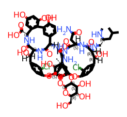 CN[C@@H](CN[C@H]1C(=O)N[C@@H](CC(N)=O)C(=O)N[C@H]2C(=O)N[C@H]3C(=O)N[C@H](C(=O)N[C@H](C(=O)O)c4cc(O)cc(O)c4-c4cc3ccc4O)[C@H](O)c3ccc(c(Cl)c3)Oc3cc2cc(c3O[C@@H]2O[C@H](CO)[C@@H](O)[C@H](O)[C@H]2O[C@H]2C[C@](C)(N)[C@H](O)[C@H](C)O2)Oc2ccc(cc2Cl)[C@H]1O)CC(C)C